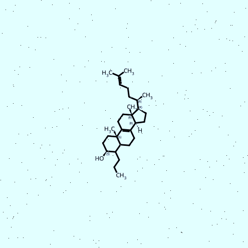 CCCC1C2CCC3=C(CC[C@]4(C)[C@@H]([C@H](C)CCC=C(C)C)CC[C@@H]34)[C@@]2(C)CC[C@@H]1O